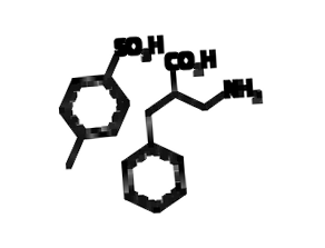 Cc1ccc(S(=O)(=O)O)cc1.NCC(Cc1ccccc1)C(=O)O